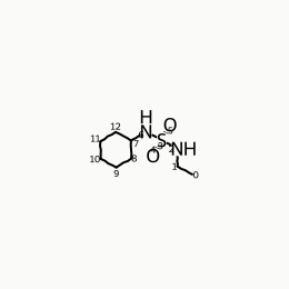 CCNS(=O)(=O)NC1CCCCC1